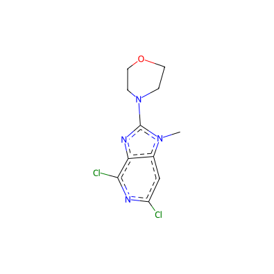 Cn1c(N2CCOCC2)nc2c(Cl)nc(Cl)cc21